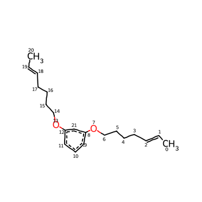 CC=CCCCCOc1[c]ccc(OCCCCC=CC)c1